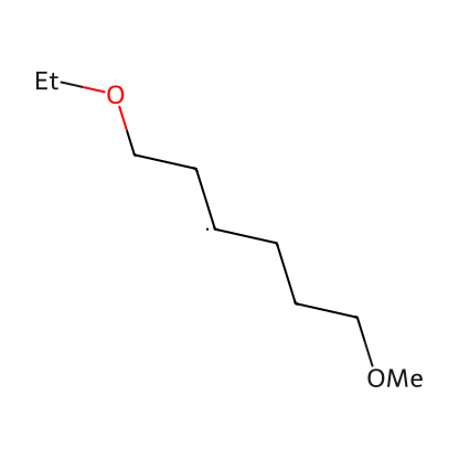 CCOCC[CH]CCCOC